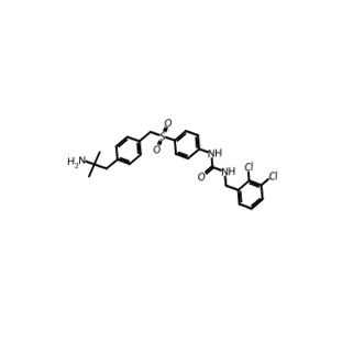 CC(C)(N)Cc1ccc(CS(=O)(=O)c2ccc(NC(=O)NCc3cccc(Cl)c3Cl)cc2)cc1